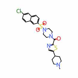 CN1CCC(c2cnc(C(=O)N3CCN(S(=O)(=O)c4ccc5cc(Cl)ccc5c4)CC3)s2)CC1